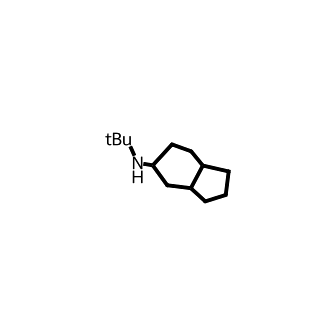 CC(C)(C)NC1CCC2CCCC2C1